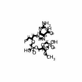 COCC(COP(=O)(O)COC(CF)Cn1cnc2c(=O)[nH]c(N)nc21)OCP(=O)(O)O